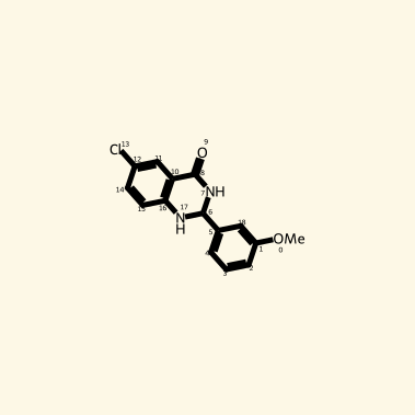 COc1cccc(C2NC(=O)c3cc(Cl)ccc3N2)c1